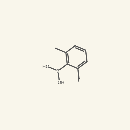 Cc1cccc(F)c1B(O)O